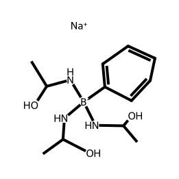 CC(O)N[B-](NC(C)O)(NC(C)O)c1ccccc1.[Na+]